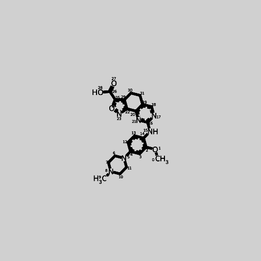 COc1cc(N2CCN(C)CC2)ccc1Nc1ncc2c(n1)-c1noc(C(=O)O)c1CC2